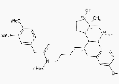 CCCCCCN(CCCC[C@@H]1Cc2cc(O)ccc2C2C1C1CC[C@H](O)[C@@]1(C)C[C@@H]2F)C(=O)Cc1ccc(OC)c(OC)c1